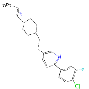 CCC/C=C/C1CCC(CCc2ccc(-c3ccc(Cl)c(F)c3)nc2)CC1